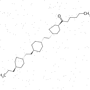 CCCCCC(=O)[C@H]1CC[C@H](CC[C@H]2CC[C@H](CC[C@H]3CC[C@H](CCC)CC3)CC2)CC1